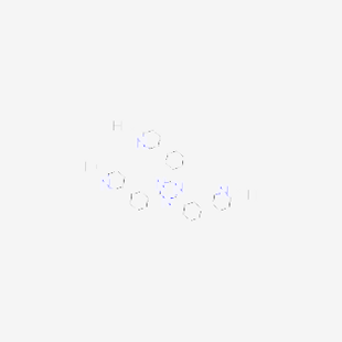 Cc1ccc(-c2cccc(-c3nc(-c4cccc(-c5ccc(C)nc5)c4)nc(-c4cccc(-c5ccc(C)nc5)c4)n3)c2)cn1